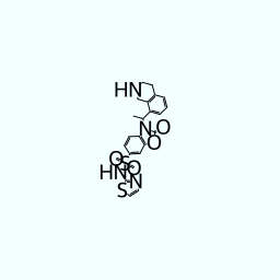 CC(c1cccc2c1CNCC2)n1c(=O)oc2cc(S(=O)(=O)Nc3nccs3)ccc21